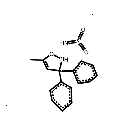 CC1=CC(c2ccccc2)(c2ccccc2)NO1.N=S(=O)=O